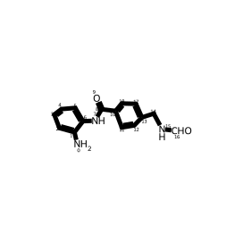 Nc1ccccc1NC(=O)c1ccc(CNC=O)cc1